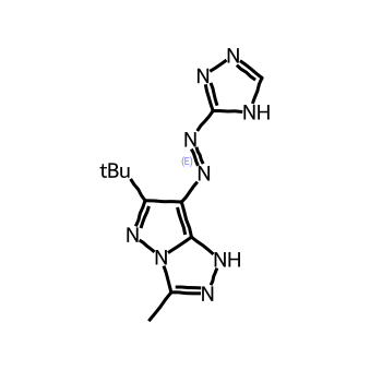 Cc1n[nH]c2c(/N=N/c3nnc[nH]3)c(C(C)(C)C)nn12